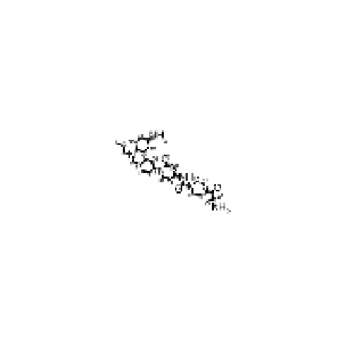 CCCN(Cc1ccc(-n2ccc(NC(=O)N3CCN(C(=O)C(C)(C)N)CC3)nc2=O)cc1)[C@H]1CC[C@H](N)CC1